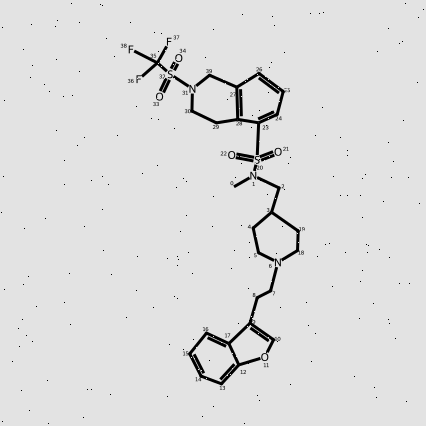 CN(CC1CCN(CCc2coc3ccccc23)CC1)S(=O)(=O)c1cccc2c1CCN(S(=O)(=O)C(F)(F)F)C2